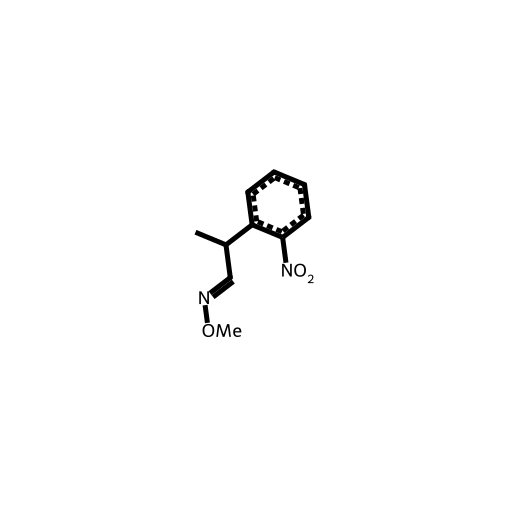 CON=CC(C)c1ccccc1[N+](=O)[O-]